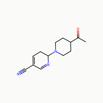 CC(=O)C1CCN(C2CC=C(C#N)C=N2)CC1